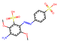 COc1cc(N)c(OC)c(S(=O)(=O)O)c1N=Nc1ccc(S(=O)(=O)O)cc1